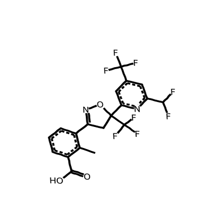 Cc1c(C(=O)O)cccc1C1=NOC(c2cc(C(F)(F)F)cc(C(F)F)n2)(C(F)(F)F)C1